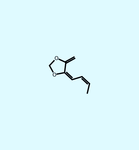 C=C1OCO/C1=C/C=C\C